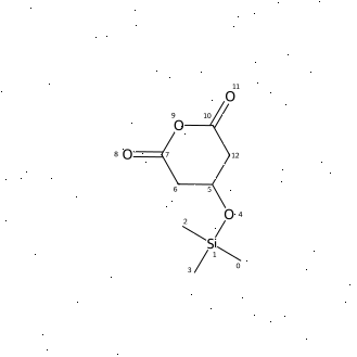 C[Si](C)(C)OC1CC(=O)OC(=O)C1